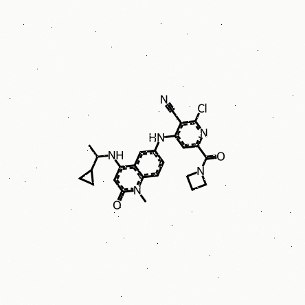 CC(Nc1cc(=O)n(C)c2ccc(Nc3cc(C(=O)N4CCC4)nc(Cl)c3C#N)cc12)C1CC1